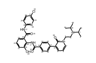 CC(C)N(CCn1cccc(-c2ccc(C(=O)Nc3c(O)cccc3C(=O)Nc3ccc(Cl)cn3)cc2)c1=O)C(C)C